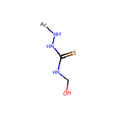 CC(=O)NNC(=S)NCO